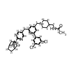 CC(=O)NCC1CCN(Cc2cc(Cc3cnc(N4CC5CCC(C4)N5C)nc3)nc(-c3cc(Cl)cc(Cl)c3)c2)CC1